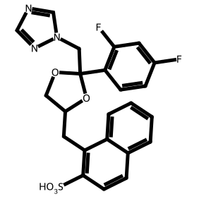 O=S(=O)(O)c1ccc2ccccc2c1CC1COC(Cn2cncn2)(c2ccc(F)cc2F)O1